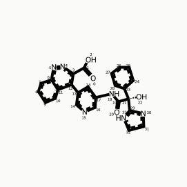 O=C(O)c1nnc2ccccc2c1-c1cncc(NC(=O)[C@@](O)(c2ccccc2)c2ncc[nH]2)c1